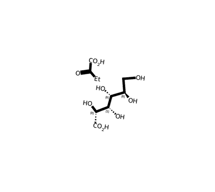 CCC(=O)C(=O)O.O=C(O)[C@H](O)[C@@H](O)[C@H](O)[C@H](O)CO